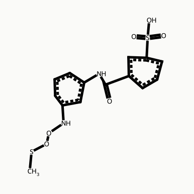 CSOONc1cccc(NC(=O)c2cccc(S(=O)(=O)O)c2)c1